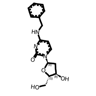 O=c1nc(NCc2ccccc2)ccn1[C@H]1C[C@@H](O)[C@H](CO)O1